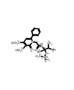 CCOC(=O)c1cc(-c2ccccc2)n(CC(=O)NC(O[SiH](C)C)(C(C)C)C(C(C)(C)C)C(F)(F)F)c(=O)c1C(=O)O